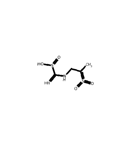 CC(CNC(=N)S(=O)O)=S(=O)=O